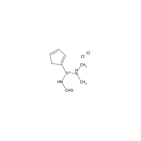 C[SiH](C)[Ti+2]([NH]C=O)[C]1=CC=CC1.[Cl-].[Cl-]